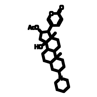 CC(=O)OC1CC2(O)C3CCC4CC(N5CCCCC5)CCC4(C)C3CCC2(C)C1c1ccc(=O)oc1